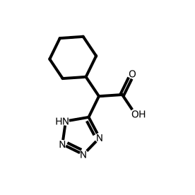 O=C(O)C(c1nnn[nH]1)C1CCCCC1